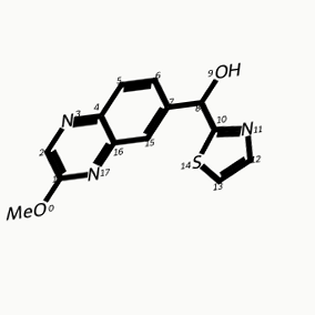 COc1cnc2ccc(C(O)c3nccs3)cc2n1